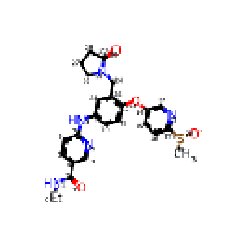 CCNC(=O)c1ccc(Nc2ccc(Oc3ccc([S+](C)[O-])nc3)c(CN3CCCC3=O)c2)nc1